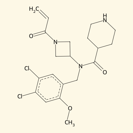 C=CC(=O)N1CC(N(Cc2cc(Cl)c(Cl)cc2OC)C(=O)C2CCNCC2)C1